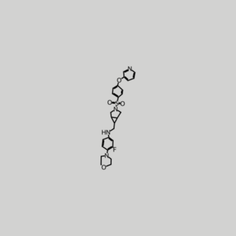 O=S(=O)(c1ccc(Oc2cccnc2)cc1)N1CC2C(CNc3ccc(N4CCOCC4)c(F)c3)C2C1